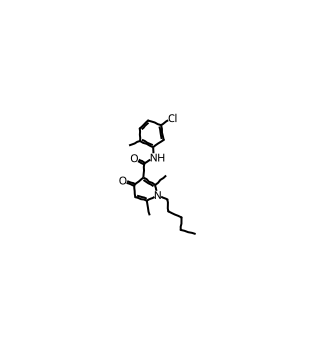 CCCCCn1c(C)cc(=O)c(C(=O)Nc2cc(Cl)ccc2C)c1C